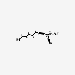 [C]#CC(C#CCCCCCC(C)C)CCCCCCCC